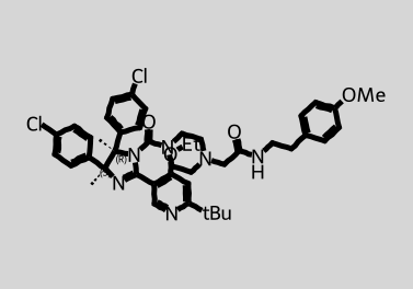 CCOc1cc(C(C)(C)C)ncc1C1=N[C@@](C)(c2ccc(Cl)cc2)[C@@](C)(c2ccc(Cl)cc2)N1C(=O)N1CCN(CC(=O)NCCc2ccc(OC)cc2)CC1